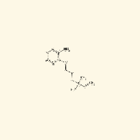 C=C[Si](C)(C)CCCOc1ccccc1[N+](=O)[O-]